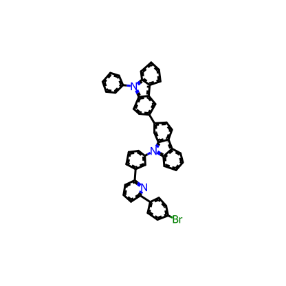 Brc1ccc(-c2cccc(-c3cccc(-n4c5ccccc5c5ccc(-c6ccc7c(c6)c6ccccc6n7-c6ccccc6)cc54)c3)n2)cc1